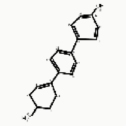 CC1CC=C(c2ccc(-c3ccc(O)cc3)cc2)CC1